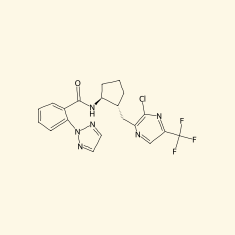 O=C(N[C@H]1CCC[C@@H]1Cc1ncc(C(F)(F)F)nc1Cl)c1ccccc1-n1nccn1